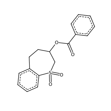 O=C(OC1CCc2ccccc2S(=O)(=O)C1)c1ccccc1